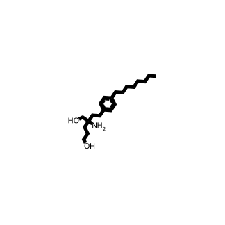 CCCCCCCCc1ccc(CCC(N)(CO)CCCO)cc1